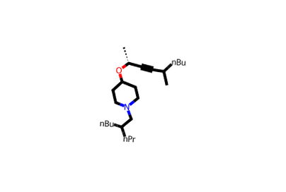 CCCCC(C)C#C[C@@H](C)OC1CCN(CC(CCC)CCCC)CC1